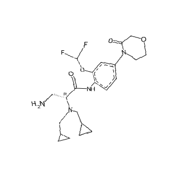 NC[C@H](C(=O)Nc1ccc(N2CCOCC2=O)cc1OC(F)F)N(CC1CC1)CC1CC1